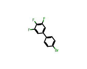 Fc1cc(-c2ccc(Br)cc2)cc(F)c1F